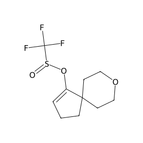 O=S(OC1=CCCC12CCOCC2)C(F)(F)F